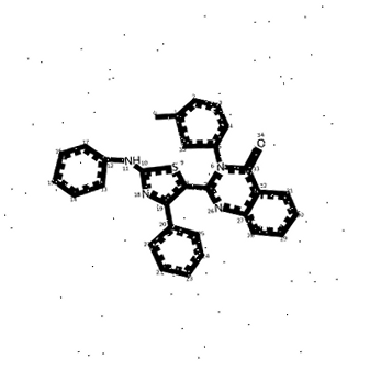 Cc1cccc(-n2c(-c3sc(Nc4ccccc4)nc3-c3ccccc3)nc3ccccc3c2=O)c1